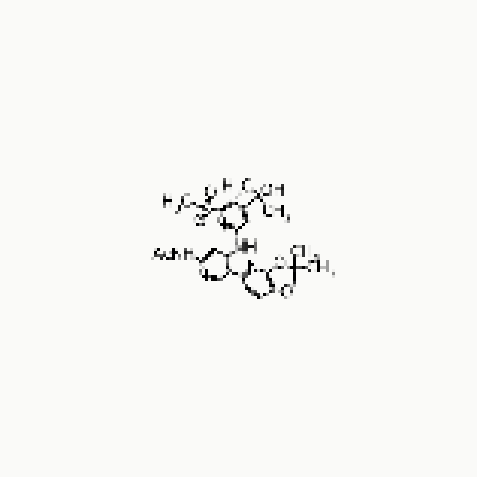 CC(=O)Nc1cc(Nc2cc(C(C)(C)O)cc(S(C)(=O)=O)n2)c(-c2ccc3c(n2)OC(C)(C)CO3)cn1